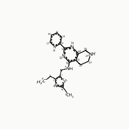 CCc1nc(C)sc1CNc1nc(-c2ccccn2)nc2c1CCNC2